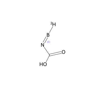 [2H]/B=N/C(=O)O